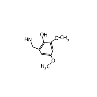 COc1cc(C[NH])c(O)c(OC)c1